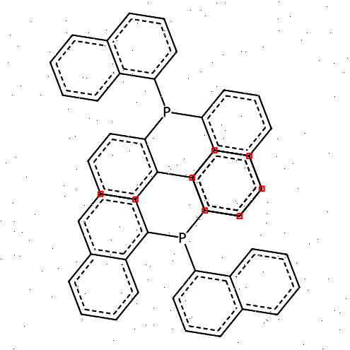 c1ccc(P(c2cccc3ccccc23)c2cccc3ccccc23)c(-c2ccccc2P(c2cccc3ccccc23)c2cccc3ccccc23)c1